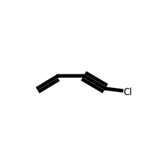 C=CC#CCl